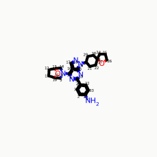 Nc1ccc(-c2nc(N3CC4CCC(C3)O4)c3cnn(C4CCC5(CCCO5)CC4)c3n2)cc1